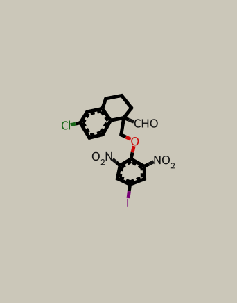 O=CC1(COc2c([N+](=O)[O-])cc(I)cc2[N+](=O)[O-])CCCc2cc(Cl)ccc21